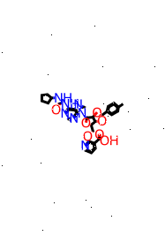 Cc1ccc(C2OC3C(COc4ncccc4C(=O)O)OC(n4cnc5c(NC(=O)NC6CCCC6)ncnc54)C3O2)cc1